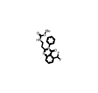 CC(C)(C)OC(=O)NCCc1nc2cccc(C(F)F)c2c(=O)n1-c1ccccc1